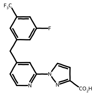 O=C(O)c1ccn(-c2cc(Cc3cc(F)cc(C(F)(F)F)c3)ccn2)n1